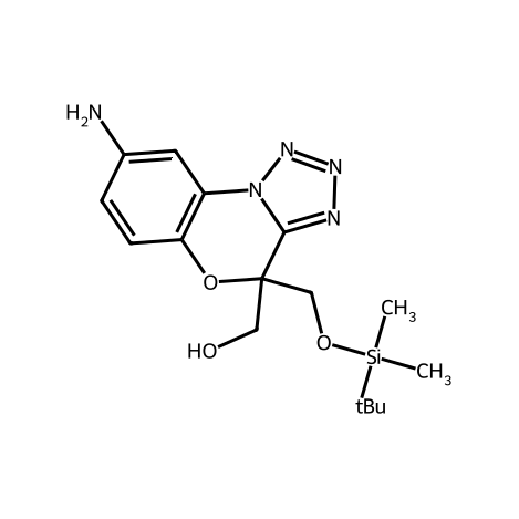 CC(C)(C)[Si](C)(C)OCC1(CO)Oc2ccc(N)cc2-n2nnnc21